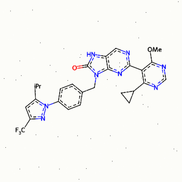 COc1ncnc(C2CC2)c1-c1ncc2[nH]c(=O)n(Cc3ccc(-n4nc(C(F)(F)F)cc4C(C)C)cc3)c2n1